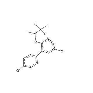 CC(Oc1ncc(Cl)cc1-c1ccc(Cl)cc1)C(F)(F)F